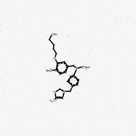 Br.CCCCCCCCCCCCCCOc1cc(CN(C(C)=O)c2ccc(CN3C=C(C)SC3)cc2)ccc1OC